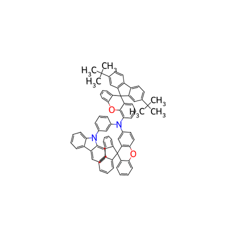 CC(C)(C)c1ccc2c(c1)C1(c3ccccc3Oc3c(N(c4cccc(-n5c6ccccc6c6ccccc65)c4)c4ccc5c(c4)C4(c6ccccc6O5)c5ccccc5-c5ccccc54)cccc31)c1cc(C(C)(C)C)ccc1-2